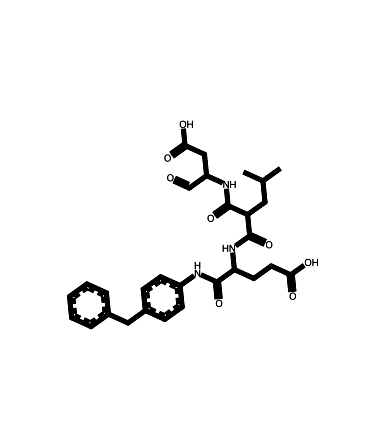 CC(C)CC(C(=O)NC(C=O)CC(=O)O)C(=O)NC(CCC(=O)O)C(=O)Nc1ccc(Cc2ccccc2)cc1